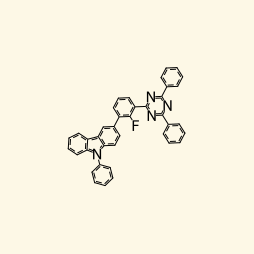 Fc1c(-c2ccc3c(c2)c2ccccc2n3-c2ccccc2)cccc1-c1nc(-c2ccccc2)nc(-c2ccccc2)n1